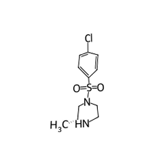 C[C@@H]1CN(S(=O)(=O)c2ccc(Cl)cc2)CCN1